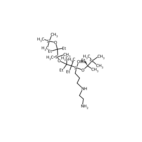 CCC(C)(O[Si](C)(C)C(CC)(CC)O[Si](C)(C)C)C(C)(CC)[Si](CCCNCCN)(OC)O[C@](C)(CC)[Si](C)(C)C